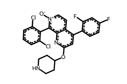 [O-][n+]1ccc2c(-c3ccc(F)cc3F)cc(OC3CCNCC3)nc2c1-c1c(Cl)cccc1Cl